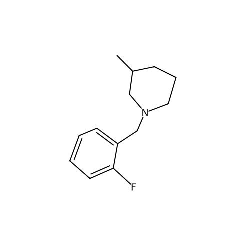 CC1CCCN(Cc2ccccc2F)C1